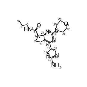 CCCNC(=O)N1CCc2c(-c3cnc(N)nc3)nc(N3CCOCC3)nc21